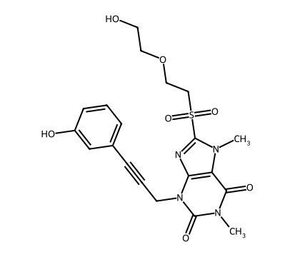 Cn1c(=O)c2c(nc(S(=O)(=O)CCOCCO)n2C)n(CC#Cc2cccc(O)c2)c1=O